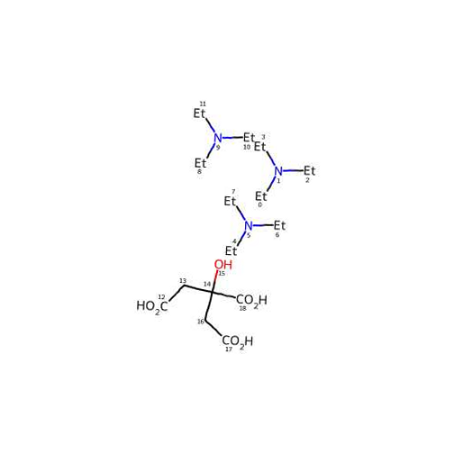 CCN(CC)CC.CCN(CC)CC.CCN(CC)CC.O=C(O)CC(O)(CC(=O)O)C(=O)O